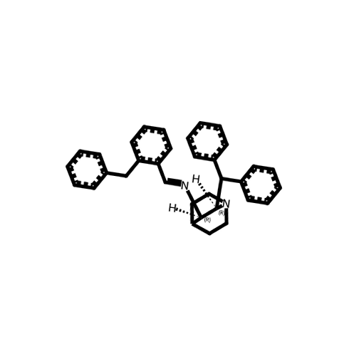 C(=N[C@@H]1C2CCN(CC2)[C@@H]1C(c1ccccc1)c1ccccc1)c1ccccc1Cc1ccccc1